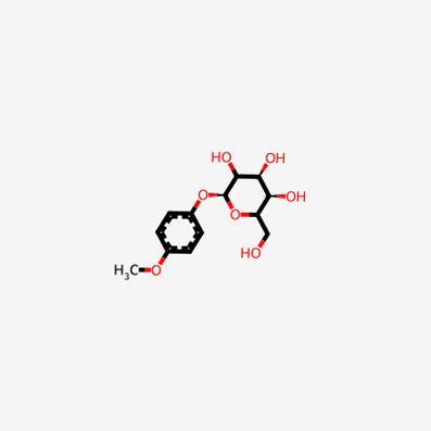 COc1ccc(O[C@@H]2OC(CO)[C@H](O)[C@H](O)C2O)cc1